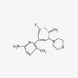 C=C1CC(F)=CC(c2nc(N)ccc2C)=CC1N1CCOCC1